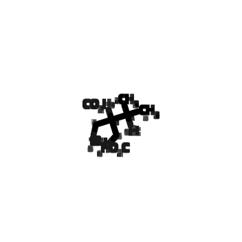 CCC(C)(C)C(CC(=O)O)(CC(C)(C)C)C(=O)O